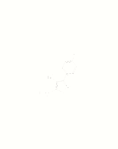 O=C(O)c1snc(-c2ccc(Cl)cc2)c1Br